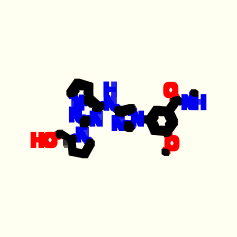 CNC(=O)c1cc(OC)cc(-n2cnc(Nc3nc(N4CCC[C@H]4CO)nn4cccc34)c2)c1